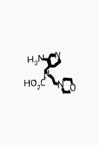 Nc1cnccc1CN(CCN1CCOCC1)C(=O)O